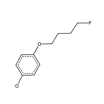 [O]c1ccc(OCCCCF)cc1